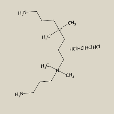 C[N+](C)(CCCN)CCC[N+](C)(C)CCCN.Cl.Cl.Cl.Cl